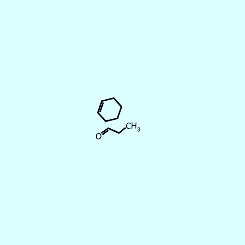 C1=CCCCC1.CCC=O